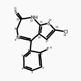 Fc1ccccc1C1=NCC(=S)Nc2sc(Cl)cc21